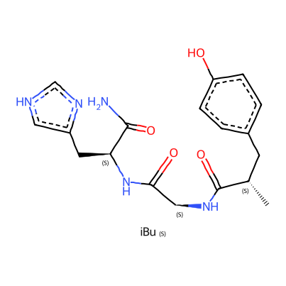 CC[C@H](C)[C@H](NC(=O)[C@@H](C)Cc1ccc(O)cc1)C(=O)N[C@@H](Cc1c[nH]cn1)C(N)=O